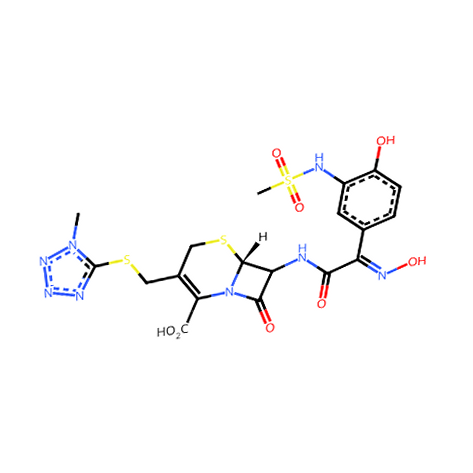 Cn1nnnc1SCC1=C(C(=O)O)N2C(=O)C(NC(=O)/C(=N/O)c3ccc(O)c(NS(C)(=O)=O)c3)[C@H]2SC1